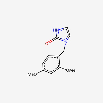 COc1ccc(Cn2cc[nH]c2=O)c(OC)c1